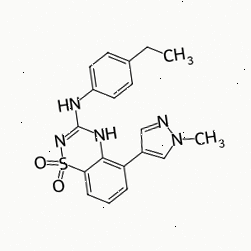 CCc1ccc(NC2=NS(=O)(=O)c3cccc(-c4cnn(C)c4)c3N2)cc1